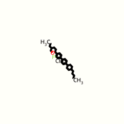 CCCCCC1CCC(c2ccc(-c3ccc(C4CCC(CCC)CO4)c(F)c3C)cc2)CC1